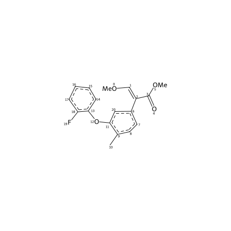 CO/C=C(/C(=O)OC)c1ccc(C)c(Oc2ccccc2F)c1